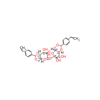 C=Cc1ccc(C2OC[C@H]3O[C@H](O[C@H]4O[C@@H]5COC(c6ccc(C=C)cc6)O[C@H]5[C@H](O)[C@H]4O)[C@H](O)[C@@H](O)[C@@H]3O2)cc1